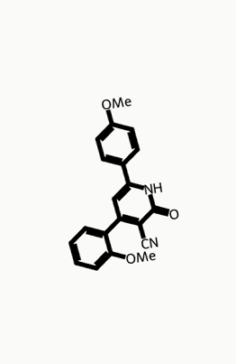 COc1ccc(-c2cc(-c3ccccc3OC)c(C#N)c(=O)[nH]2)cc1